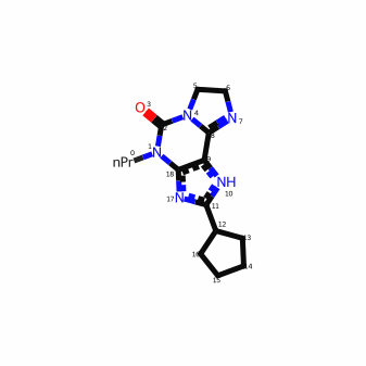 CCCN1C(=O)N2CCN=C2c2[nH]c(C3CCCC3)nc21